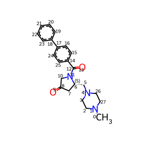 CN1CCN(C[C@@H]2CC(=O)CN2C(=O)c2ccc(-c3ccccc3)cc2)CC1